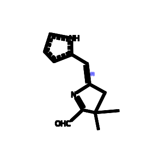 CC1(C)C/C(=C/c2ccc[nH]2)N=C1C=O